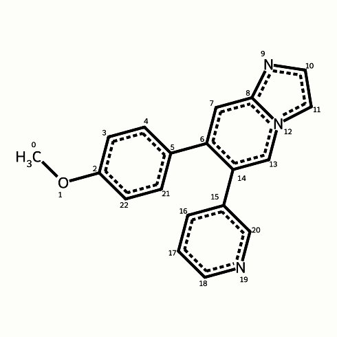 COc1ccc(-c2cc3nccn3cc2-c2cccnc2)cc1